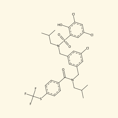 CC(C)CN(Cc1cc(Cl)cc(CN(CC(C)C)S(=O)(=O)c2cc(Cl)cc(Cl)c2O)c1)C(=O)c1ccc(SC(F)(F)F)cc1